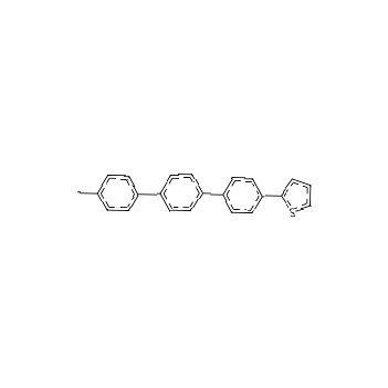 Cc1ccc(-c2ccc(-c3ccc(-c4cccs4)cc3)cc2)cc1